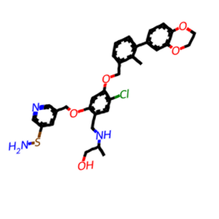 Cc1c(COc2cc(OCc3cncc(SN)c3)c(CNC(C)CO)cc2Cl)cccc1-c1ccc2c(c1)OCCO2